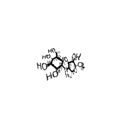 CO[C@@H]1O[C@H](C)C(NC2C=C(CO)[C@@H](O)C(O)[C@H]2O)[C@H](O)C1O